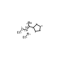 CCO[SiH](OCC)C(C(C)CC)C1CCCC1